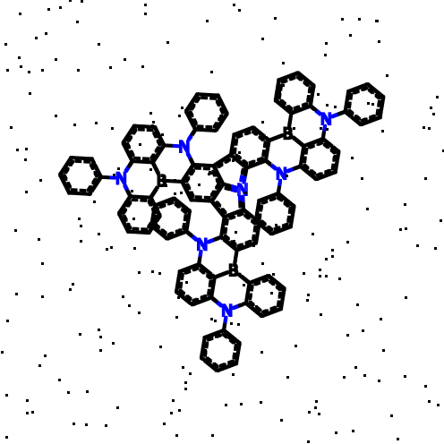 c1ccc(N2c3ccccc3B3c4ccc5c(c4N(c4ccccc4)c4cccc2c43)c2cc3c(c4c6ccc7c(c6n5c24)N(c2ccccc2)c2cccc4c2B7c2ccccc2N4c2ccccc2)N(c2ccccc2)c2cccc4c2B3c2ccccc2N4c2ccccc2)cc1